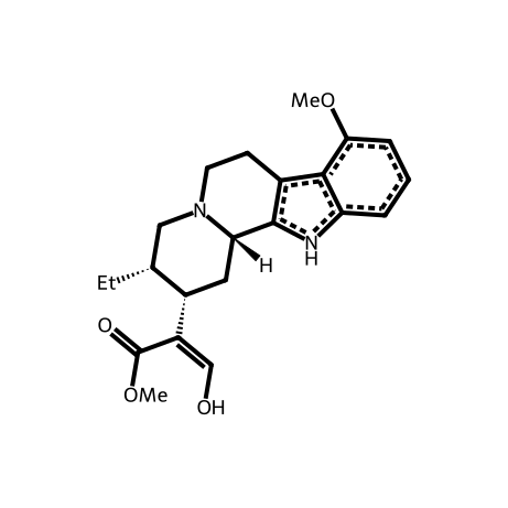 CC[C@@H]1CN2CCc3c([nH]c4cccc(OC)c34)[C@@H]2C[C@@H]1C(=CO)C(=O)OC